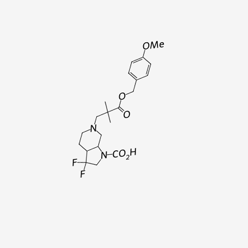 COc1ccc(COC(=O)C(C)(C)CN2CCC3C(C2)N(C(=O)O)CC3(F)F)cc1